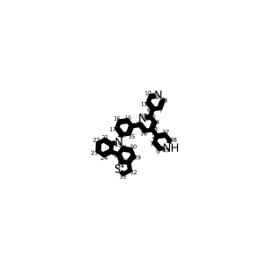 C1=CC(c2cc(-c3ccncc3)nc(-c3cccc(-n4c5ccccc5c5c6c(ccc54)CCS6)c3)c2)=CCN1